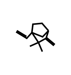 C=CC12CCC(C1)C(=C)C2(C)C